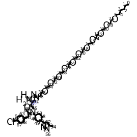 CCCCCCOCCOCCOCCOCCOCCOCCOCCOCCOCCOCCOCCN(N)/C=C(\N)C1CN(C2CCC(c3cc(C)n(C)n3)CC2)C(Cc2ccc(Cl)cc2)CO1